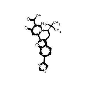 CC(C)(C)[C@H]1Cc2c(oc3cc(-c4cscn4)ccc23)-c2cc(=O)c(C(=O)O)cn21